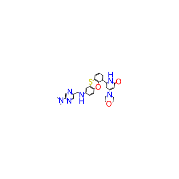 CN(C)c1cnc(CNc2ccc3c(c2)Sc2cccc(-c4cc(N5CCOCC5)cc(=O)[nH]4)c2O3)cn1